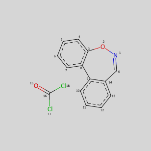 C1=NOc2ccccc2-c2ccccc21.O=C(Cl)Cl